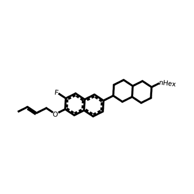 CC=CCOc1cc2ccc(C3CCC4CC(CCCCCC)CCC4C3)cc2cc1F